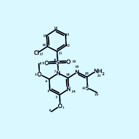 COC1=CC(OC)N(S(=O)(=O)c2ccccc2Cl)C(N=C(N)SC)=N1